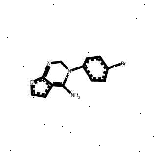 NC1=c2ccoc2=NCN1c1ccc(Br)cc1